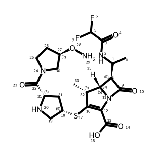 CC(NC(=O)C(F)F)[C@H]1C(=O)N2C(C(=O)O)=C(S[C@@H]3CN[C@H](C(=O)N4CC[C@@H](ON)C4)C3)[C@H](C)[C@H]12